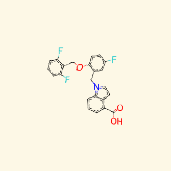 O=C(O)c1cccc2c1ccn2Cc1cc(F)ccc1OCc1c(F)cccc1F